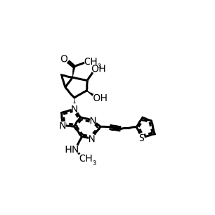 CNc1nc(C#Cc2cccs2)nc2c1ncn2[C@@H]1C2C[C@]2(C(C)=O)C(O)[C@H]1O